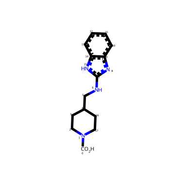 O=C(O)N1CCC(CNc2nc3ccccc3[nH]2)CC1